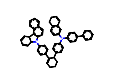 C1=CC2c3c(ccc4ccccc34)N(c3ccc(C4=CCCCC4c4ccc(N(c5ccc(-c6ccccc6)cc5)c5ccc6c(c5)C=CCC6)cc4)cc3)C2C=C1